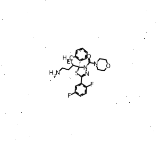 CC[C@H](CCN)[C@]1(c2ccccc2C)SC(c2cc(F)ccc2F)=NN1C(=O)N1CCOCC1